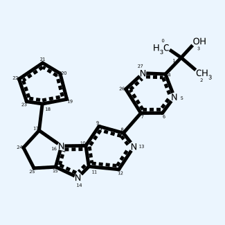 CC(C)(O)c1ncc(-c2cc3c(cn2)nc2n3C(c3ccccc3)CC2)cn1